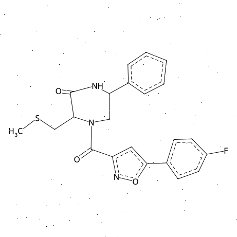 CSCC1C(=O)NC(c2ccccc2)CN1C(=O)c1cc(-c2ccc(F)cc2)on1